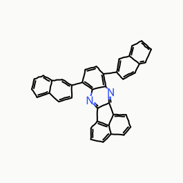 c1ccc2cc(-c3ccc(-c4ccc5ccccc5c4)c4nc5c(nc34)-c3cccc4cccc-5c34)ccc2c1